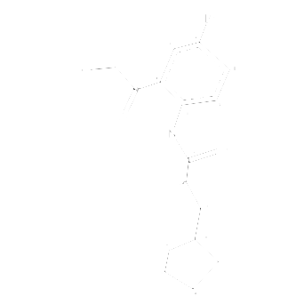 CCC(=O)c1cc(Br)ccc1NC(=O)CCC1CCCC1